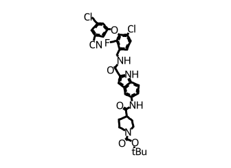 CC(C)(C)OC(=O)N1CCC(C(=O)Nc2ccc3[nH]c(C(=O)NCc4ccc(Cl)c(Oc5cc(Cl)cc(C#N)c5)c4F)cc3c2)CC1